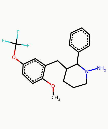 COc1ccc(OC(F)(F)F)cc1CC1CCCN(N)C1c1ccccc1